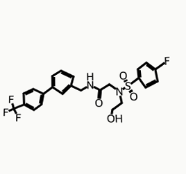 O=C(CN(CCO)S(=O)(=O)c1ccc(F)cc1)NCc1cccc(-c2ccc(C(F)(F)F)cc2)c1